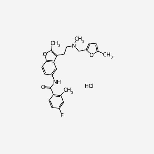 Cc1ccc(CN(C)CCc2c(C)oc3ccc(NC(=O)c4ccc(F)cc4C)cc23)o1.Cl